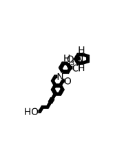 CN1[C@@H]2CC[C@H]1C[C@@H](Oc1ccc(N3CCc4cc(C#CCCCO)ccc4C3=O)cc1Cl)C2